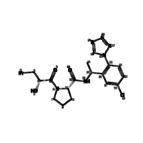 CC(C)C[C@@H](O)C(=O)N1CCC[C@H]1C(=O)NC(C)c1cc(Cl)ccc1-n1cnnn1